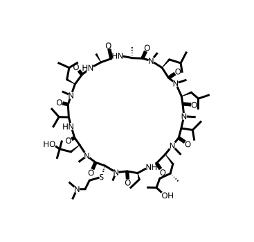 CC[C@@H]1NC(=O)[C@H](C[C@H](C)CC(C)O)N(C)C(=O)C(C(C)C)N(C)C(=O)[C@H](CC(C)C)N(C)C(=O)[C@H](CC(C)C)N(C)C(=O)[C@@H](C)NC(=O)[C@H](C)NC(=O)[C@H](CC(C)C)N(C)C(=O)C(C(C)C)NC(=O)[C@H](CC(C)(C)O)N(C)C(=O)[C@@H](SCCN(C)C)N(C)C1=O